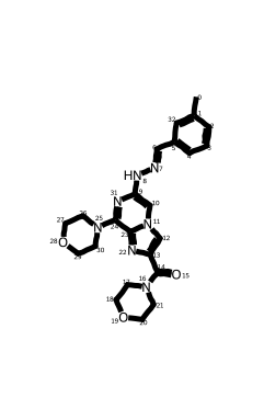 Cc1cccc(/C=N/Nc2cn3cc(C(=O)N4CCOCC4)nc3c(N3CCOCC3)n2)c1